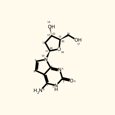 Nc1[nH]c(=O)nc2c1ccn2[C@H]1C[C@H](O)[C@@H](CO)O1